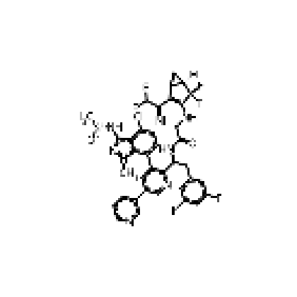 Cn1nc(N[S+](C)[O-])c2c(Cl)ccc(-c3cc(-c4cccnc4)cnc3C(Cc3cc(F)cc(F)c3)NC(=O)CNC3=C(C(=N)C(F)F)C4C[C@H]4C3(F)F)c21